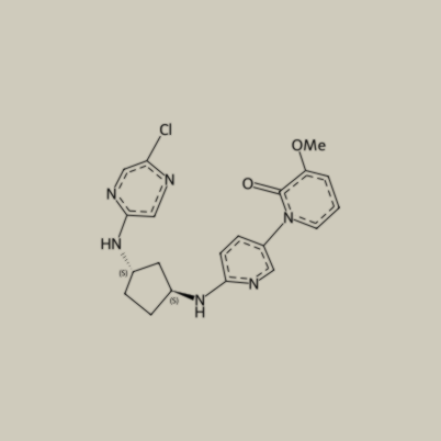 COc1cccn(-c2ccc(N[C@H]3CC[C@H](Nc4cnc(Cl)cn4)C3)nc2)c1=O